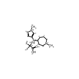 CN1CCCC(Nc2cnn(C)c2)CC1.O=C(O)C(F)(F)F